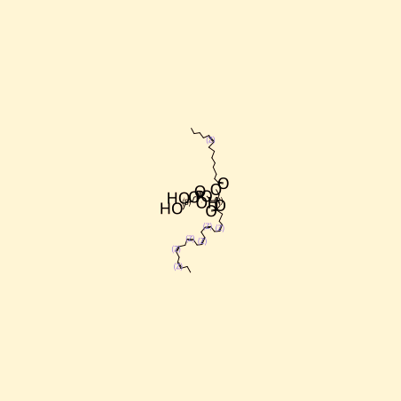 CC/C=C\C/C=C\C/C=C\C/C=C\C/C=C\C/C=C\CCC(=O)O[C@H](COC(=O)CCCCCCC/C=C\CCCC)COP(=O)(O)OC[C@@H](O)CO